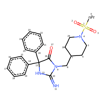 CCCS(=O)(=O)N1CCC(CN2C(=N)NC(c3ccccc3)(c3ccccc3)C2=O)CC1